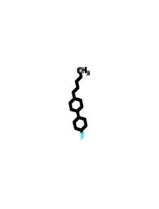 CCCCCC1CCC(C2CCC(F)CC2)CC1